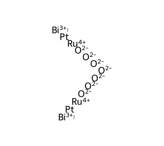 [Bi+3].[Bi+3].[O-2].[O-2].[O-2].[O-2].[O-2].[O-2].[O-2].[Pt].[Pt].[Ru+4].[Ru+4]